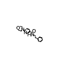 O=C(NCCc1ccccc1)c1ccc(N2CCOCC2)nc1